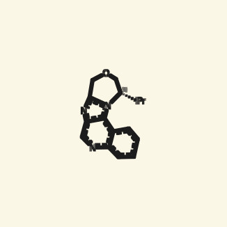 CC(C)[C@H]1COCc2nc3cnc4ccccc4c3n21